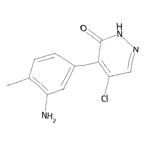 Cc1ccc(-c2c(Cl)cn[nH]c2=O)cc1N